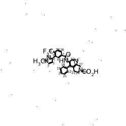 Cn1ccc(-c2cc(C(=O)Nc3cnc4c(c3-c3ccccc3)CCN(C(=O)O)C4)ccc2C(F)(F)F)n1